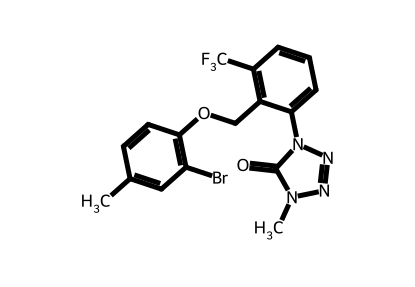 Cc1ccc(OCc2c(-n3nnn(C)c3=O)cccc2C(F)(F)F)c(Br)c1